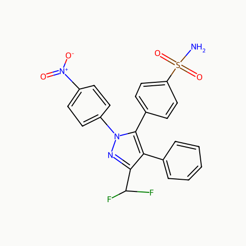 NS(=O)(=O)c1ccc(-c2c(-c3ccccc3)c(C(F)F)nn2-c2ccc([N+](=O)[O-])cc2)cc1